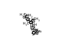 Cc1cc(Nc2ncnc(Nc3ccccc3S(=O)(=O)C(C)C)n2)c2c(c1C1CCN(C(=O)C(C)N)CC1)CC(C)O2